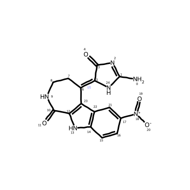 NC1=NC(=O)/C(=C2\CCNC(=O)c3[nH]c4ccc([N+](=O)[O-])cc4c32)N1